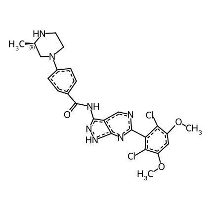 COc1cc(OC)c(Cl)c(-c2ncc3c(NC(=O)c4ccc(N5CCN[C@H](C)C5)cc4)n[nH]c3n2)c1Cl